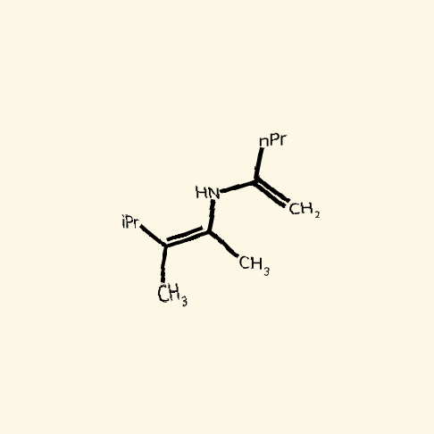 C=C(CCC)N/C(C)=C(/C)C(C)C